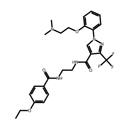 CCOc1ccc(C(=O)NCCNC(=O)c2cn(-c3ccccc3OCCN(C)C)nc2C(F)(F)F)cc1